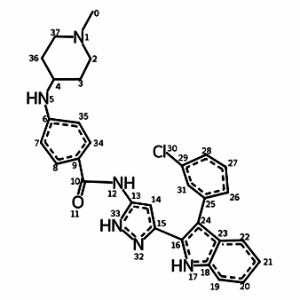 CN1CCC(Nc2ccc(C(=O)Nc3cc(-c4[nH]c5ccccc5c4-c4cccc(Cl)c4)n[nH]3)cc2)CC1